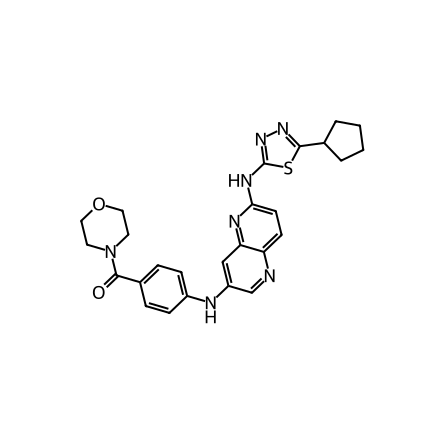 O=C(c1ccc(Nc2cnc3ccc(Nc4nnc(C5CCCC5)s4)nc3c2)cc1)N1CCOCC1